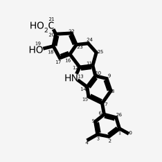 Cc1cc(C)cc(-c2ccc3c4c([nH]c3c2)-c2cc(O)c(C(=O)O)cc2CC4)c1